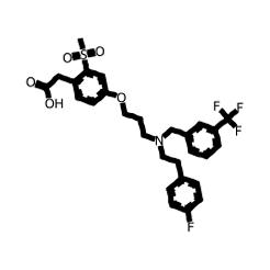 CS(=O)(=O)c1cc(OCCCN(CCc2ccc(F)cc2)Cc2cccc(C(F)(F)F)c2)ccc1CC(=O)O